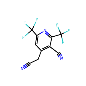 N#CCc1cc(C(F)(F)F)nc(C(F)(F)F)c1C#N